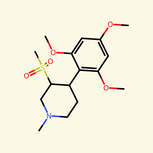 COc1cc(OC)c(C2CCN(C)CC2S(C)(=O)=O)c(OC)c1